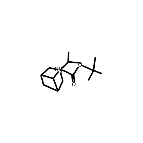 CC(C)N1CC2CC(C1)C2NC(=O)OC(C)(C)C